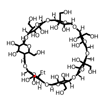 CCC1O[C@H]2O[C@@H]3C(CO)O[C@@H](O[C@@H]4C(CO)O[C@H](O[C@@H]5C(CO)O[C@H](O[C@@H]6C(CO)O[C@H](O[C@@H]7C(CO)O[C@H](O[C@@H]8C(CO)O[C@@H](O[C@H]1C(O)C2O)C(O)C8O)C(O)C7O)C(O)C6O)C(O)C5O)C(O)C4O)C(O)C3O